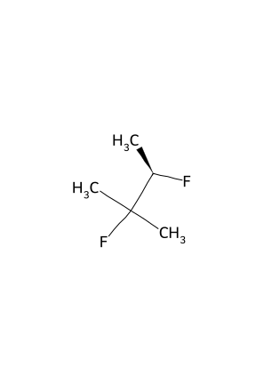 C[C@@H](F)C(C)(C)F